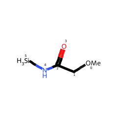 COCC(=O)N[SiH3]